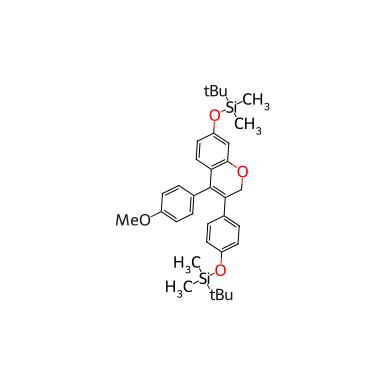 COc1ccc(C2=C(c3ccc(O[Si](C)(C)C(C)(C)C)cc3)COc3cc(O[Si](C)(C)C(C)(C)C)ccc32)cc1